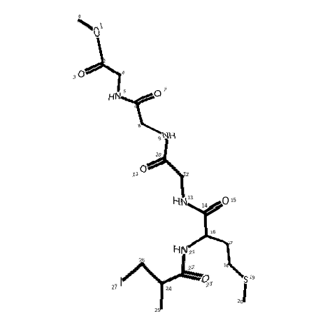 COC(=O)CNC(=O)CNC(=O)CNC(=O)C(CCSC)NC(=O)C(C)CI